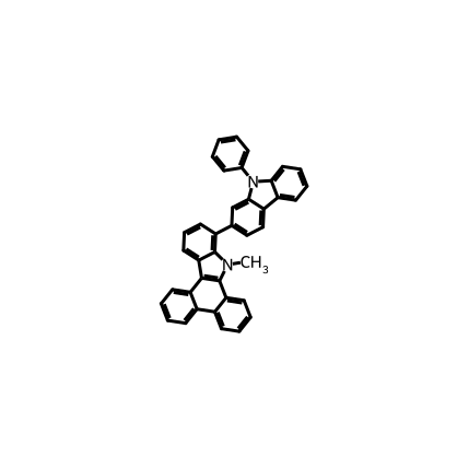 Cn1c2c(-c3ccc4c5ccccc5n(-c5ccccc5)c4c3)cccc2c2c3ccccc3c3ccccc3c21